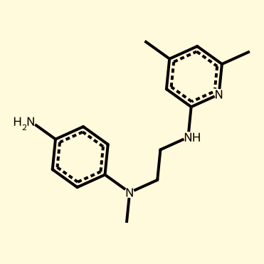 Cc1cc(C)nc(NCCN(C)c2ccc(N)cc2)c1